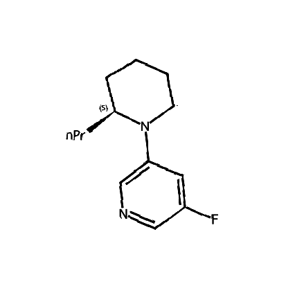 CCC[C@H]1CCC[CH]N1c1cncc(F)c1